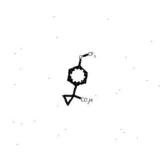 O=C(O)C1(c2ccc(OC(F)(F)F)cc2)CC1